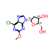 COc1nc(Cl)c2ncn([C@@H]3C[C@@H](O)[C@H](CO)O3)c2n1